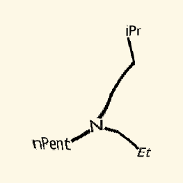 CCCCCN(CC)CCC(C)C